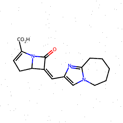 O=C(O)C1=CCC2C(=Cc3cn4c(n3)CCCCC4)C(=O)N12